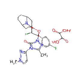 Cc1nn(C[C@@H](F)CN2C3CCC2CC(OCc2ccc(F)cc2)C3)c(=O)n1-c1ccn(C)n1.O=C(O)C(=O)O